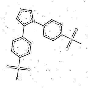 CCS(=O)(=O)c1ccc(-c2cncn2-c2ccc(S(C)(=O)=O)nc2)cc1